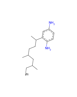 CC(C)CC(C)CC(C)CCC(C)c1cc(N)ccc1N